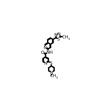 Cc1nnc(-c2ccc3cnc(NC(=O)c4ccnc(SC5CCN(C)CC5)c4)cc3c2)s1